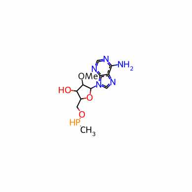 COC1C(O)C(COPC)OC1n1cnc2c(N)ncnc21